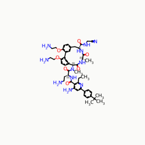 CCc1nc(-c2ccc(C(C)(C)C)cc2)cc(N)c1C(=O)N[C@@H](CCN)C(=O)N(C)[C@@H]1C(=O)N[C@@H](C)C(=O)N[C@H](C(=O)NCC#N)Cc2ccc(OCCN)c(c2)-c2cc1ccc2OCCN